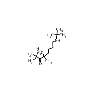 CC(C)(C)NCCCCC(C)(C)C(=O)C(C)(C)C